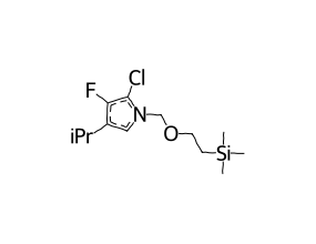 CC(C)c1cn(COCC[Si](C)(C)C)c(Cl)c1F